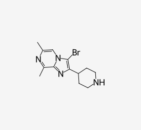 Cc1cn2c(Br)c(C3CCNCC3)nc2c(C)n1